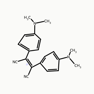 CN(C)c1ccc(/C(C#N)=C(/C#N)c2ccc(N(C)C)cc2)cc1